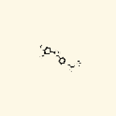 CC(C)Oc1ccc(-c2nnc(-c3cc(F)c(OC[C@H](N)[C@@H](C)OP(=O)(O)O)cc3Cl)s2)cc1C#N.Cl